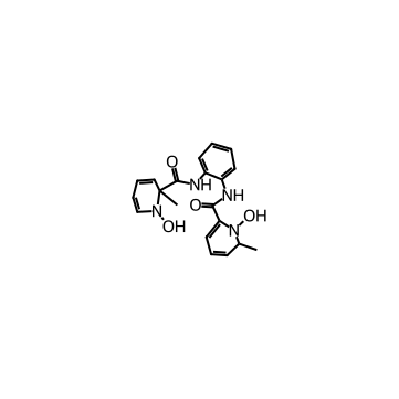 CC1C=CC=C(C(=O)Nc2ccccc2NC(=O)C2(C)C=CC=CN2O)N1O